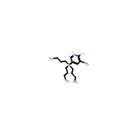 CCC[CH2][Sn]([CH2]CCC)([CH2]CCC)[c]1cnc(F)c(C)c1